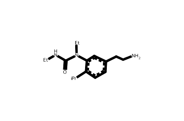 CCNC(=O)N(CC)c1cc(CCN)ccc1C(C)C